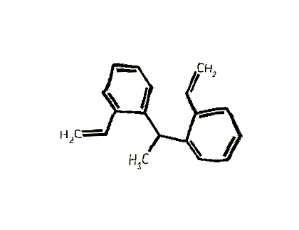 C=Cc1ccccc1C(C)c1ccccc1C=C